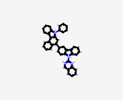 c1ccc(-n2c3ccccc3c3c4ccccc4c(-c4ccc5c(c4)c4ccccc4n5-c4ncc5ccccc5n4)cc32)cc1